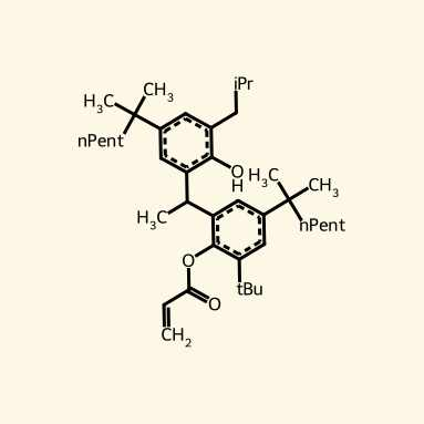 C=CC(=O)Oc1c(C(C)c2cc(C(C)(C)CCCCC)cc(CC(C)C)c2O)cc(C(C)(C)CCCCC)cc1C(C)(C)C